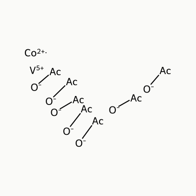 CC(=O)[O-].CC(=O)[O-].CC(=O)[O-].CC(=O)[O-].CC(=O)[O-].CC(=O)[O-].CC(=O)[O-].[Co+2].[V+5]